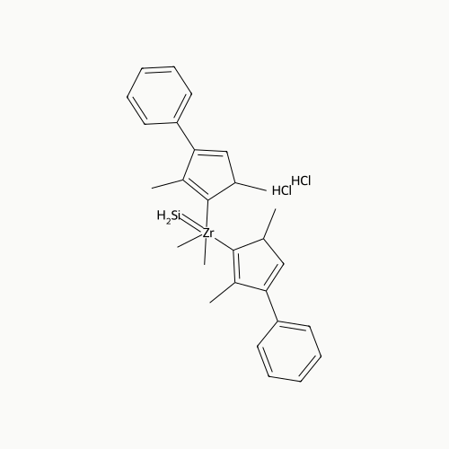 CC1=[C]([Zr]([CH3])([CH3])(=[SiH2])[C]2=C(C)C(c3ccccc3)=CC2C)C(C)C=C1c1ccccc1.Cl.Cl